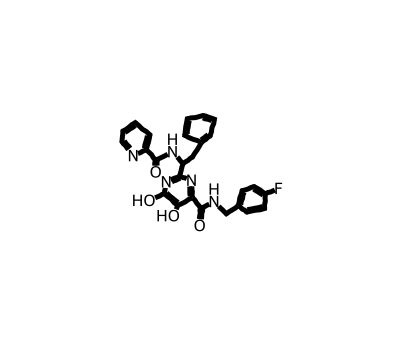 O=C(NC(Cc1ccccc1)c1nc(O)c(O)c(C(=O)NCc2ccc(F)cc2)n1)c1ccccn1